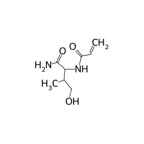 C=CC(=O)NC(C(N)=O)C(C)CO